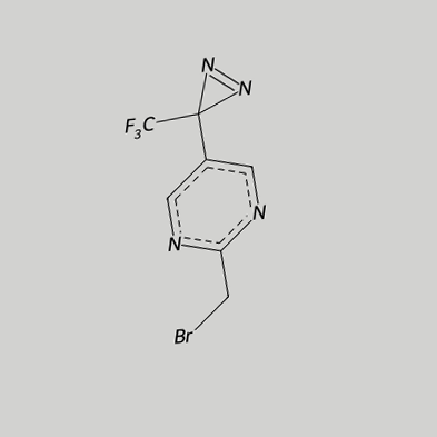 FC(F)(F)C1(c2cnc(CBr)nc2)N=N1